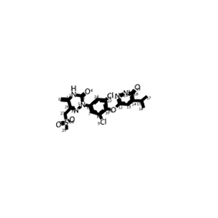 C=C1NC(=O)N(c2cc(Cl)c(Oc3cc(C(C)C)c(=O)[nH]n3)c(Cl)c2)N=C1CS(C)(=O)=O